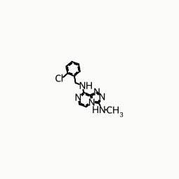 CNc1nnc2c(NCc3ccccc3Cl)nccn12